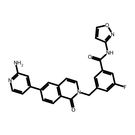 Nc1cc(-c2ccc3c(=O)n(Cc4cc(F)cc(C(=O)Nc5ccon5)c4)ccc3c2)ccn1